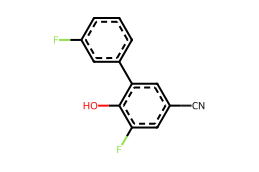 N#Cc1cc(F)c(O)c(-c2cccc(F)c2)c1